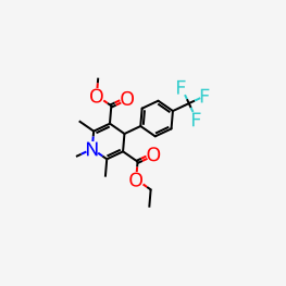 CCOC(=O)C1=C(C)N(C)C(C)=C(C(=O)OC)C1c1ccc(C(F)(F)F)cc1